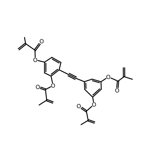 C=C(C)C(=O)Oc1cc(C#Cc2ccc(OC(=O)C(=C)C)cc2OC(=O)C(=C)C)cc(OC(=O)C(=C)C)c1